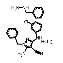 Cl.Cl.N#Cc1c(Nc2cccc(Cl)c2)nn(Cc2ccccc2)c1N.NNCc1ccccc1